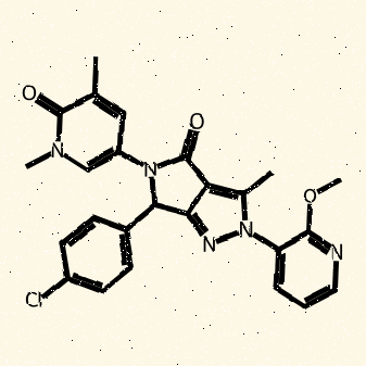 COc1ncccc1-n1nc2c(c1C)C(=O)N(c1cc(C)c(=O)n(C)c1)C2c1ccc(Cl)cc1